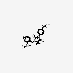 CCNc1cnccc1CN1C(=O)N(c2ccc(SC(F)(F)F)cc2)C(=O)C1(C)C